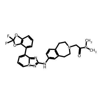 CN(C)C(=O)CN1CCc2ccc(Nc3nc4c(-c5cccc6c5OC(F)(F)O6)cccn4n3)cc2CC1